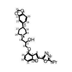 CC(C)c1nnc(-c2cc3c(OCC(O)CN4CCC(c5ccc6c(c5)OCO6)CC4)cccc3o2)o1